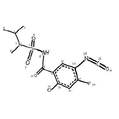 CC(C)N(C)S(=O)(=O)NC(=O)c1cc(N=C=O)c(F)cc1Cl